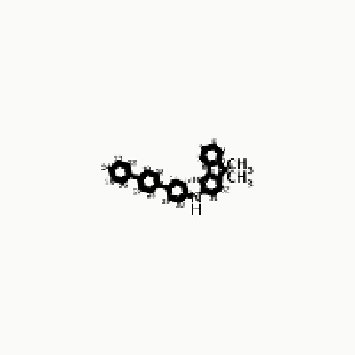 CC1(C)c2ccccc2-c2cc(Nc3ccc(-c4ccc(-c5ccccc5)cc4)cc3)ccc21